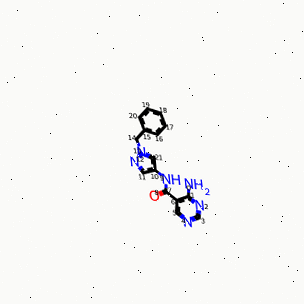 Nc1ncncc1C(=O)Nc1cnn(Cc2ccccc2)c1